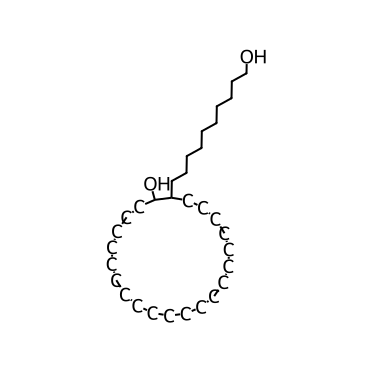 OCCCCCCCCCCC1CCCCCCCCCCCCCCCCCCCCC1O